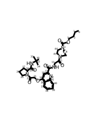 CCCCOC(=O)N1CCN(C(=O)CNC(=O)c2cc(OCC(=O)N3CCCC3C(=O)NC(C)(C)C)c3ccccc3n2)CC1